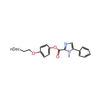 CCCCCCCCCCCCOc1ccc(OC(=O)c2ncc(-c3ccccc3)n2C)cc1